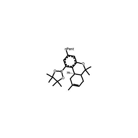 CCCCCc1cc2c(c(B3OC(C)(C)C(C)(C)O3)c1)[C@@H]1CC(C)=CCC1C(C)(C)O2